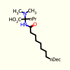 CCCCCCCCCCCCCCCCCC(=O)NC(CCC)(C(=O)O)N(C)C